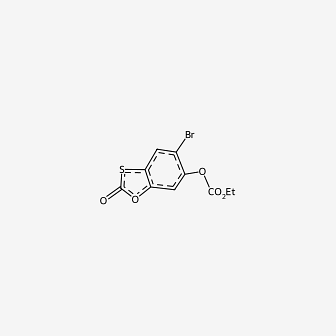 CCOC(=O)Oc1cc2oc(=O)sc2cc1Br